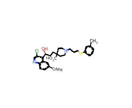 COc1ccc2ncc(Cl)c([C@@H](O)CCC3(C(=O)O)CCN(CCCSc4cccc(C)c4)CC3)c2c1